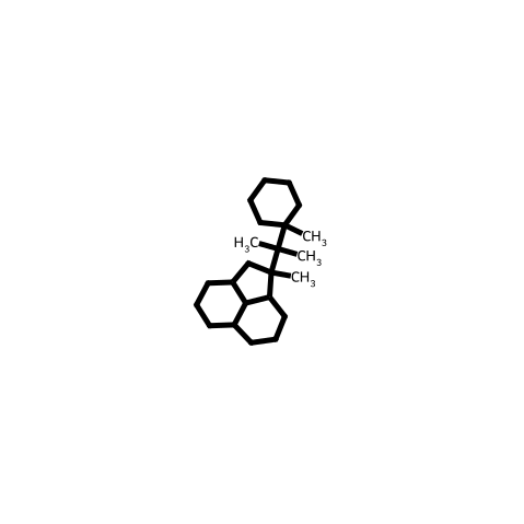 CC1(C(C)(C)C2(C)CC3CCCC4CCCC2C43)CCCCC1